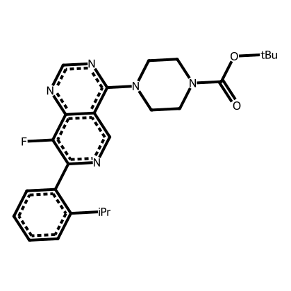 CC(C)c1ccccc1-c1ncc2c(N3CCN(C(=O)OC(C)(C)C)CC3)ncnc2c1F